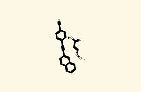 COC=CC(=O)O.N#Cc1ccc(C#Cc2ccc3ccccc3c2)cc1